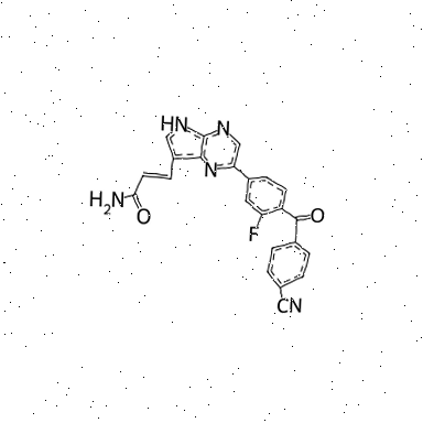 N#Cc1ccc(C(=O)c2ccc(-c3cnc4[nH]cc(/C=C/C(N)=O)c4n3)cc2F)cc1